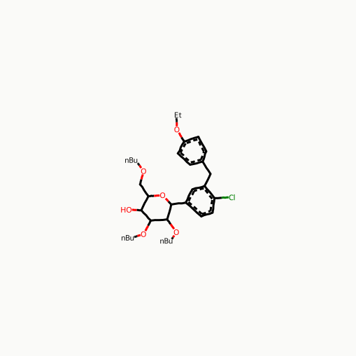 CCCCOCC1OC(c2ccc(Cl)c(Cc3ccc(OCC)cc3)c2)C(OCCCC)C(OCCCC)C1O